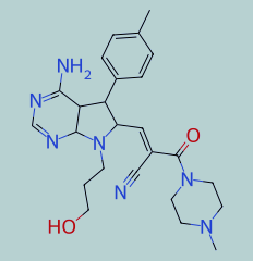 Cc1ccc(C2C3C(N)=NC=NC3N(CCCO)C2/C=C(\C#N)C(=O)N2CCN(C)CC2)cc1